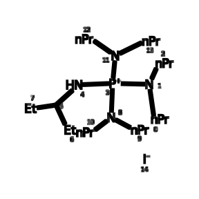 CCCN(CCC)[P+](NC(CC)CC)(N(CCC)CCC)N(CCC)CCC.[I-]